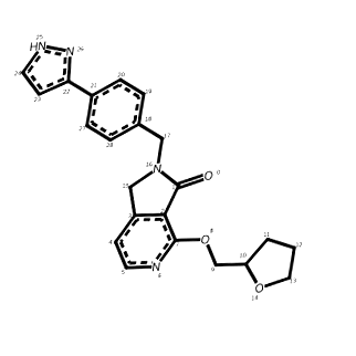 O=C1c2c(ccnc2OCC2CCCO2)CN1Cc1ccc(-c2cc[nH]n2)cc1